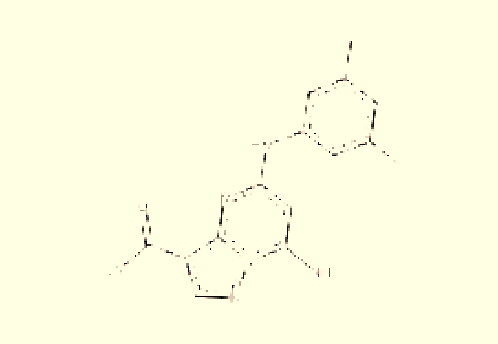 Cc1cc(C)cc(Nc2cc(N)n3ncc(C(N)=O)c3n2)c1